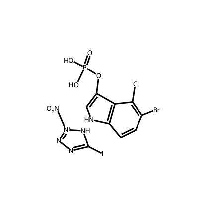 O=P(O)(O)Oc1c[nH]c2ccc(Br)c(Cl)c12.O=[N+]([O-])[n+]1nnc(I)[nH]1